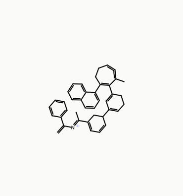 C=C(/N=C(\C)C1=CC=CC(C2=CCCC(C3=C(c4cccc5ccccc45)CCC=C=C3C)=C2)C1)c1ccccc1